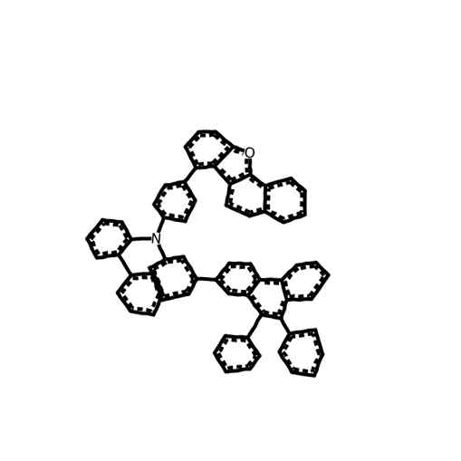 c1ccc(-c2ccccc2N(c2ccc(-c3cccc4oc5c6ccccc6ccc5c34)cc2)c2cccc(-c3ccc4c(c3)c(-c3ccccc3)c(-c3ccccc3)c3ccccc34)c2)cc1